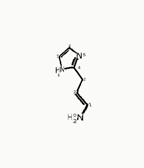 NC=CCc1ncc[nH]1